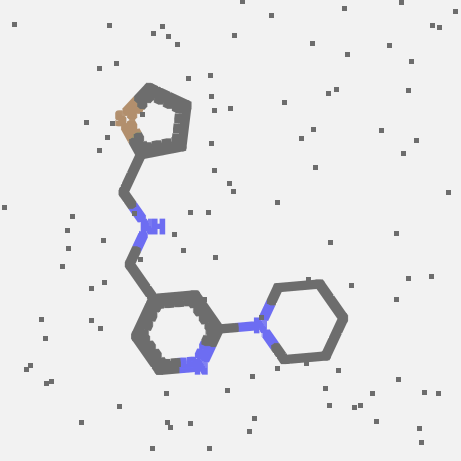 c1csc(CNCc2ccnc(N3CCCCC3)c2)c1